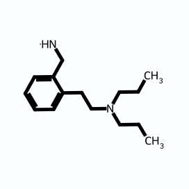 CCCN(CCC)CCc1ccccc1C[NH]